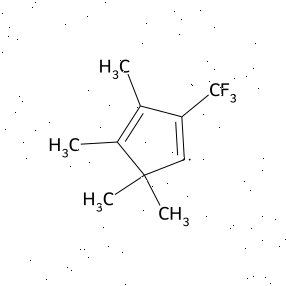 CC1=C(C)C(C)(C)[C]=C1C(F)(F)F